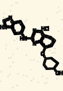 Cl.O[C@H]1CC[C@@H](Oc2cccc3cnc(Nc4ccc5nc[nH]c5c4)nc23)CC1